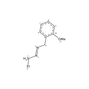 CC[SiH2]N=NCc1ccccc1OC